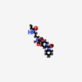 C=CC(=O)NCCCN(C)S(=O)(=O)C1CCN(C(=O)N2CCCCC2)CC1